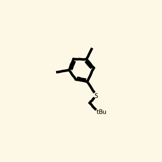 Cc1cc(C)cc(SCC(C)(C)C)c1